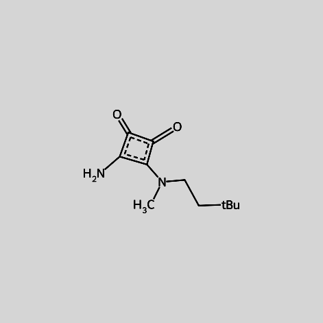 CN(CCC(C)(C)C)c1c(N)c(=O)c1=O